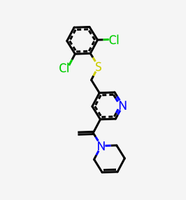 C=C(c1cncc(CSc2c(Cl)cccc2Cl)c1)N1CC=CCC1